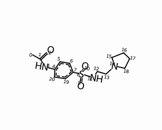 CC(=O)Nc1ccc(S(=O)(=O)NCCN2CCCC2)cc1